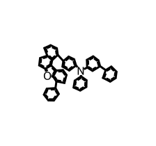 c1ccc(-c2cccc(N(c3ccccc3)c3ccc(-c4cccc5ccc6oc7c(-c8ccccc8)cccc7c6c45)cc3)c2)cc1